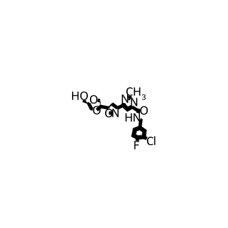 Cc1nc(C(=O)NCc2ccc(F)c(Cl)c2)cc(C2=NO[C@@H]([C@H]3CO[C@H](CO)CO3)C2)n1